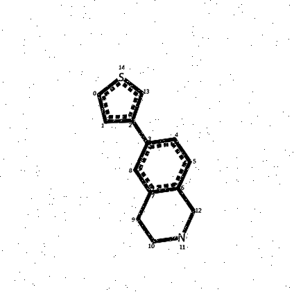 c1cc(-c2ccc3c(c2)CC[N]C3)cs1